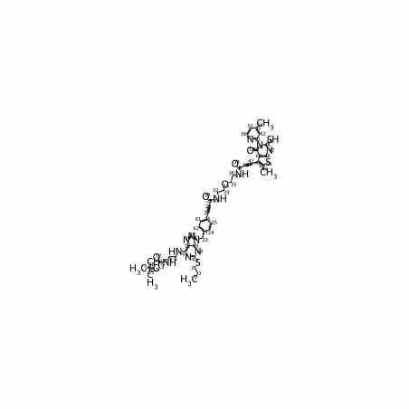 CCCSc1nc(NCCNC(=O)OC(C)(C)C)c2nnn(Cc3ccc(C#CC(=O)NCCOCCNC(=O)C#Cc4c(C)sc5nc(S)n(-c6cc(C)ccn6)c(=O)c45)cc3)c2n1